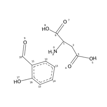 NC(CC(=O)O)C(=O)O.O=Cc1ccccc1O